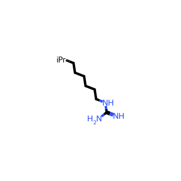 CC(C)CCCCCCNC(=N)N